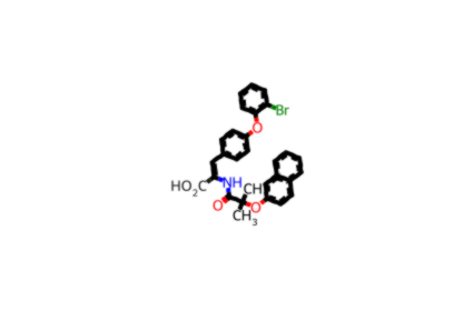 CC(C)(Oc1ccc2ccccc2c1)C(=O)N/C(=C\c1ccc(Oc2ccccc2Br)cc1)C(=O)O